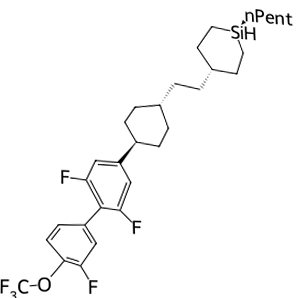 CCCCC[Si@H]1CC[C@H](CC[C@H]2CC[C@H](c3cc(F)c(-c4ccc(OC(F)(F)F)c(F)c4)c(F)c3)CC2)CC1